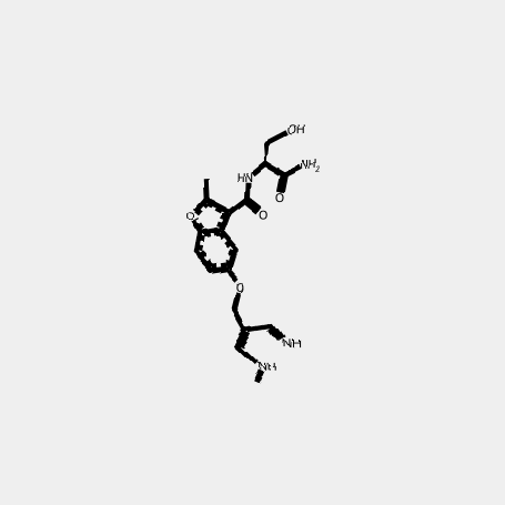 CN/C=C(\C=N)COc1ccc2oc(C)c(C(=O)N[C@@H](CO)C(N)=O)c2c1